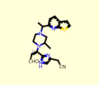 CC(c1ccc2ccsc2n1)N1CCN(/C(=C/C=O)c2nc(CC#N)c[nH]2)C(C)C1